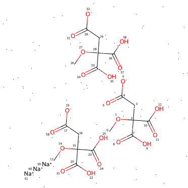 COC(CC(=O)[O-])(C(=O)O)C(=O)O.COC(CC(=O)[O-])(C(=O)O)C(=O)O.COC(CC(=O)[O-])(C(=O)O)C(=O)O.[Na+].[Na+].[Na+]